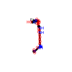 CCc1c2c(nc3ccc(O)cc13)-c1cc3c(c(=O)n1C2)COC(=O)[C@@]3(CC)OC(=O)OCc1ccc(NC(=O)COCC(=O)NCCOCCOCCOCCOCCOCCn2nncc2CNC(=O)CCCCCN2C(=O)C=CC2=O)cc1